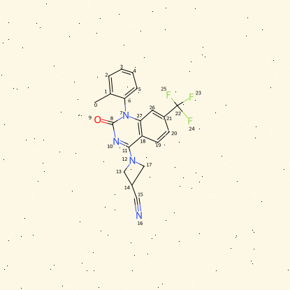 Cc1ccccc1-n1c(=O)nc(N2CC(C#N)C2)c2ccc(C(F)(F)F)cc21